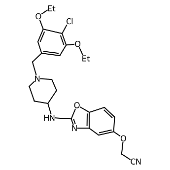 CCOc1cc(CN2CCC(Nc3nc4cc(OCC#N)ccc4o3)CC2)cc(OCC)c1Cl